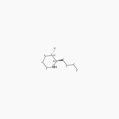 CCCC[C@H]1NCCC[C@@H]1C